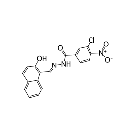 O=C(N/N=C/c1c(O)ccc2ccccc12)c1ccc([N+](=O)[O-])c(Cl)c1